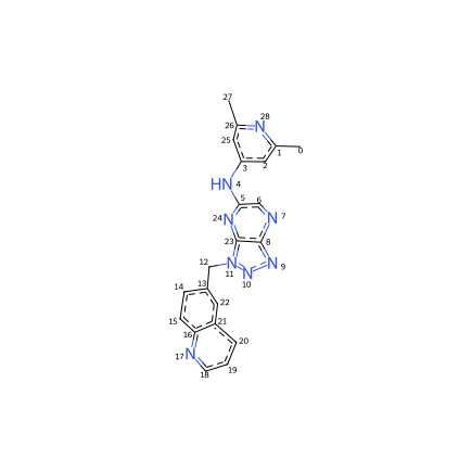 Cc1cc(Nc2cnc3nnn(Cc4ccc5ncccc5c4)c3n2)cc(C)n1